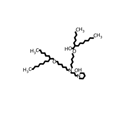 CCCCCCCCC(CCCCCC)COCCCCCCN(CCCCCCOC(O)C(CCCCCC)CCCCCCCC)CC(O)CN1CCCCC1